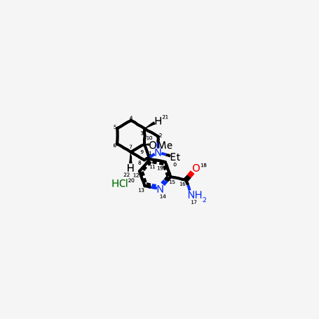 CCN1C[C@H]2CCC[C@@H](C1)[C@]2(OC)c1ccnc(C(N)=O)c1.Cl